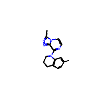 Cc1ccc2c(c1)N(c1nccn3c(C)nnc13)CCC2